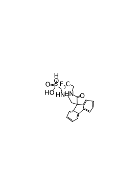 O=C(NCC(F)(F)F)C1(CCNCP(=O)(O)O)c2ccccc2-c2ccccc21